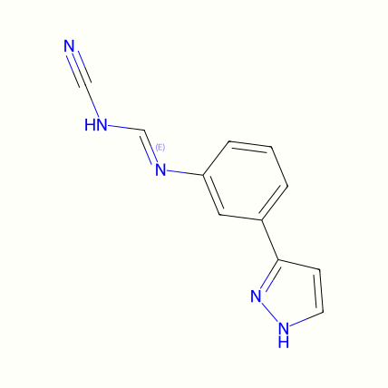 N#CN/C=N/c1cccc(-c2cc[nH]n2)c1